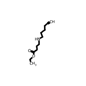 C#CCCCCNCCCC(=O)OCC